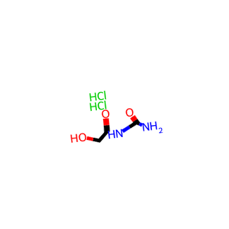 Cl.Cl.NC(=O)NC(=O)CO